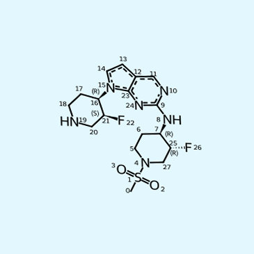 CS(=O)(=O)N1CC[C@@H](Nc2ncc3ccn([C@@H]4CCNC[C@@H]4F)c3n2)[C@H](F)C1